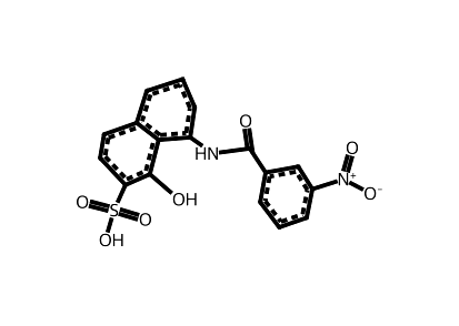 O=C(Nc1cccc2ccc(S(=O)(=O)O)c(O)c12)c1cccc([N+](=O)[O-])c1